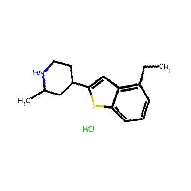 CCc1cccc2sc(C3CCNC(C)C3)cc12.Cl